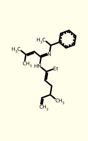 C=CC(C)C/C=C(\CC)N/C(C=C(C)C)=N/C(C)c1ccccc1